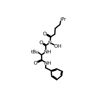 CC(C)CCCC(=O)N(O)C(=O)NC(C(=O)NCc1ccccc1)C(C)(C)C